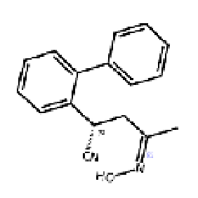 C/C(C[C@H](C#N)c1ccccc1-c1ccccc1)=N/O